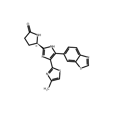 Cc1csc(-c2nc([C@H]3CCC(=O)N3)[nH]c2-c2ccc3ncsc3c2)n1